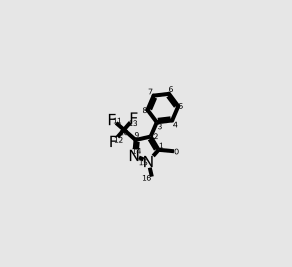 Cc1c(-c2ccccc2)c(C(F)(F)F)nn1C